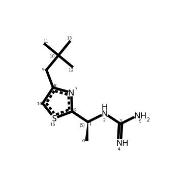 C[C@H](NC(=N)N)c1nc(CC(C)(C)C)cs1